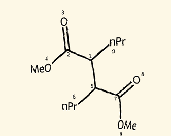 CCCC(C(=O)OC)C(CCC)C(=O)OC